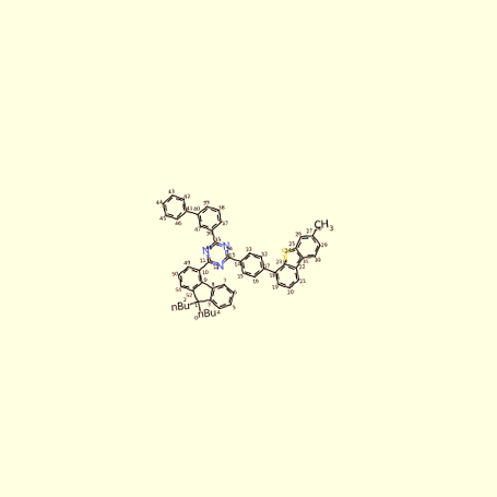 CCCCC1(CCCC)c2ccccc2-c2c(-c3nc(-c4ccc(-c5cccc6c5sc5cc(C)ccc56)cc4)nc(-c4cccc(-c5ccccc5)c4)n3)cccc21